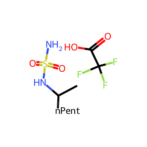 CCCCCC(C)NS(N)(=O)=O.O=C(O)C(F)(F)F